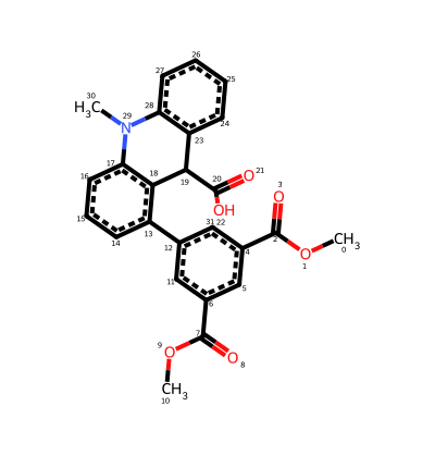 COC(=O)c1cc(C(=O)OC)cc(-c2cccc3c2C(C(=O)O)c2ccccc2N3C)c1